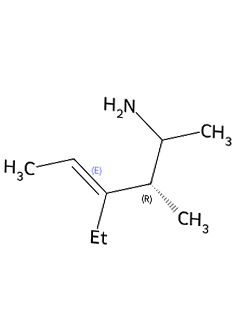 C/C=C(\CC)[C@@H](C)C(C)N